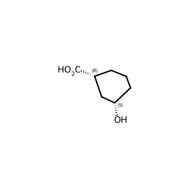 O=C(O)[C@@H]1CCC[C@H](O)C1